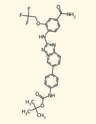 CC(C)(C)OC(=O)Nc1ccc(-c2ccc3nc(Nc4ccc(C(N)=O)cc4OCC(F)(F)F)nn3c2)cc1